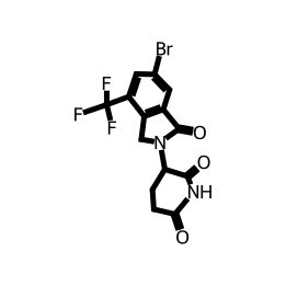 O=C1CCC(N2Cc3c(cc(Br)cc3C(F)(F)F)C2=O)C(=O)N1